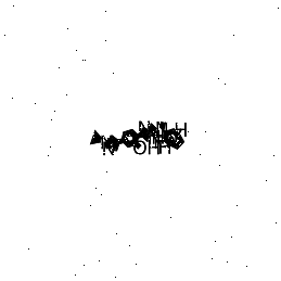 CN(c1cnc(-c2ccc(-c3cnn(C4CC4)c3)cc2O)cn1)[C@H]1C[C@@H]2CC[C@@H](N2)[C@H]1F